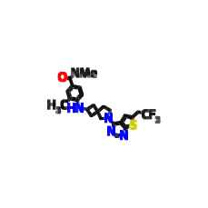 CNC(=O)c1ccc(NC2CC3(CCN(c4ncnc5sc(CC(F)(F)F)cc45)C3)C2)c(C)c1